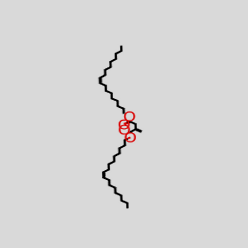 C=C(CC(=O)OCCCCCCCC/C=C\CCCCCCCC)C(=O)OCCCCCCCC/C=C\CCCCCCCC